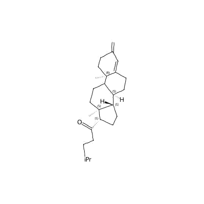 C=C1C=C2CC[C@@H]3C(CC[C@]4(C)[C@@H](C(=O)CCC(C)C)CC[C@@H]34)[C@@]2(C)CC1